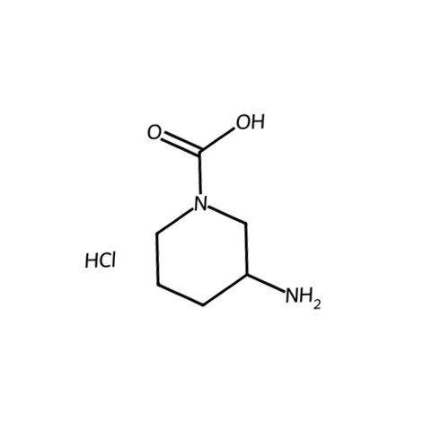 Cl.NC1CCCN(C(=O)O)C1